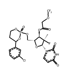 C[C@@]1(F)[C@H](OC(=O)COC(F)(F)F)[C@@H](COP2(=O)OCCC(c3cccc(Cl)c3)O2)O[C@H]1n1ccc(=O)[nH]c1=O